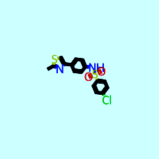 Cc1nc(-c2ccc(NS(=O)(=O)c3ccc(Cl)cc3)cc2)cs1